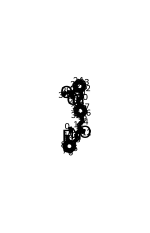 CCN(Cc1ccccc1F)C(=O)CCc1ccc(OCc2ccccc2C(=O)OC)cc1